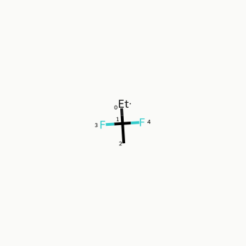 C[CH]C(C)(F)F